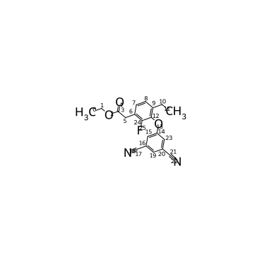 CCOC(=O)Cc1ccc(CC)c(Oc2cc(C#N)cc(C#N)c2)c1F